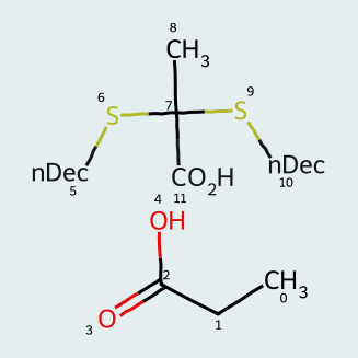 CCC(=O)O.CCCCCCCCCCSC(C)(SCCCCCCCCCC)C(=O)O